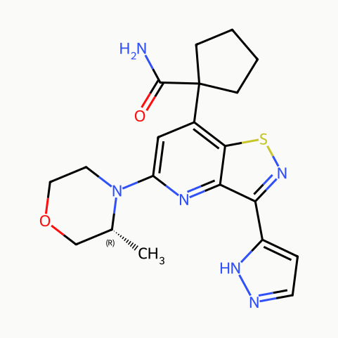 C[C@@H]1COCCN1c1cc(C2(C(N)=O)CCCC2)c2snc(-c3ccn[nH]3)c2n1